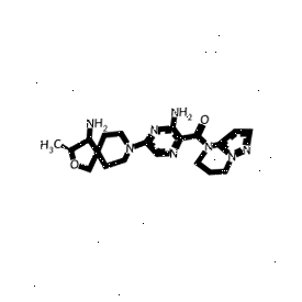 C[C@@H]1OCC2(CCN(c3cnc(C(=O)N4CCCn5nccc54)c(N)n3)CC2)C1N